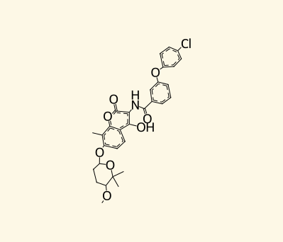 COC1CCC(Oc2ccc3c(O)c(NC(=O)c4cccc(Oc5ccc(Cl)cc5)c4)c(=O)oc3c2C)OC1(C)C